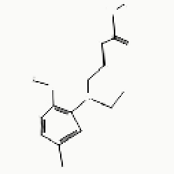 CCN(CCCC(=O)OC)c1cc(C)ccc1OC